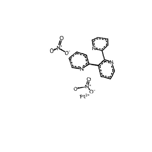 O=[N+]([O-])[O-].O=[N+]([O-])[O-].[Pt+2].c1ccc(-c2cccnc2-c2ccccn2)nc1